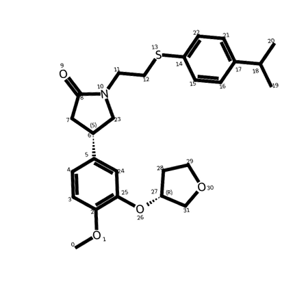 COc1ccc([C@@H]2CC(=O)N(CCSc3ccc(C(C)C)cc3)C2)cc1O[C@@H]1CCOC1